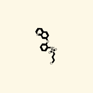 O=S(=O)(CCCCl)Nc1ccccc1Oc1ccc2cccnc2c1